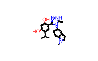 C=C1NN=C(c2cc(C(C)C)c(O)cc2O)N1c1ccc2c(ccn2C)c1